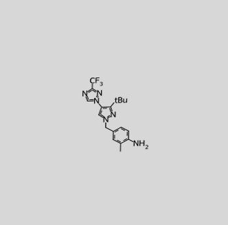 Cc1cc(Cn2cc(-n3cnc(C(F)(F)F)n3)c(C(C)(C)C)n2)ccc1N